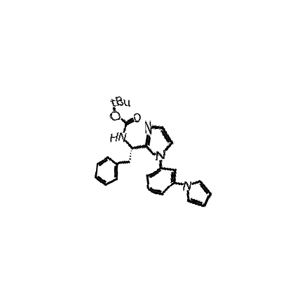 CC(C)(C)OC(=O)N[C@@H](Cc1ccccc1)c1nccn1-c1cccc(-n2cccc2)c1